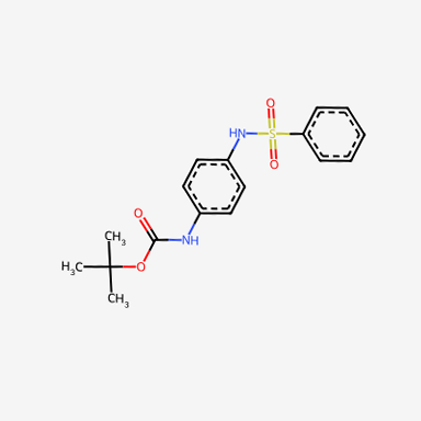 CC(C)(C)OC(=O)Nc1ccc(NS(=O)(=O)c2ccccc2)cc1